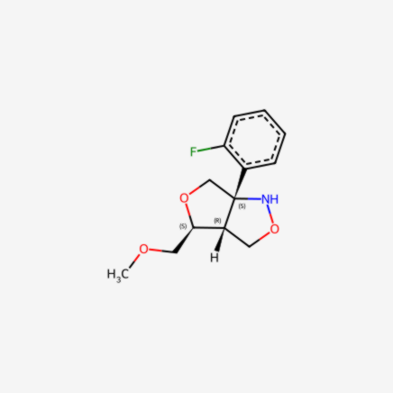 COC[C@H]1OC[C@]2(c3ccccc3F)NOC[C@H]12